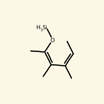 CC=C(C)C(C)=C(C)O[SiH3]